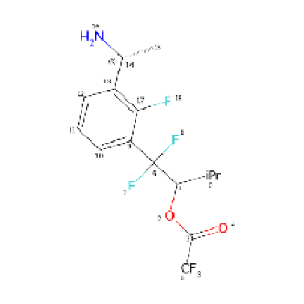 CC(C)C(OC(=O)C(F)(F)F)C(F)(F)c1cccc([C@@H](C)N)c1F